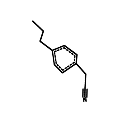 CCCc1ccc(CC#N)cc1